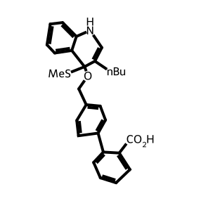 CCCCC1=CNc2ccccc2C1(OCc1ccc(-c2ccccc2C(=O)O)cc1)SC